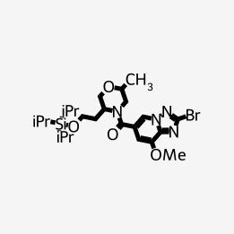 COc1cc(C(=O)N2CC(C)OCC2CCO[Si](C(C)C)(C(C)C)C(C)C)cn2nc(Br)nc12